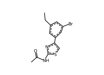 CCc1cc(Br)cc(-c2csc(NC(C)=O)n2)c1